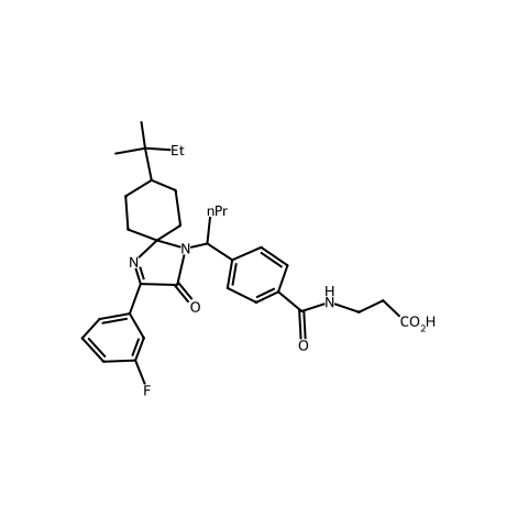 CCCC(c1ccc(C(=O)NCCC(=O)O)cc1)N1C(=O)C(c2cccc(F)c2)=NC12CCC(C(C)(C)CC)CC2